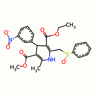 CCOC(=O)C1=C(C[S+]([O-])c2ccccc2)NC(C)=C(C(=O)OC)C1c1cccc([N+](=O)[O-])c1